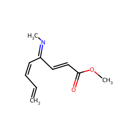 C=C\C=C/C(/C=C/C(=O)OC)=N\C